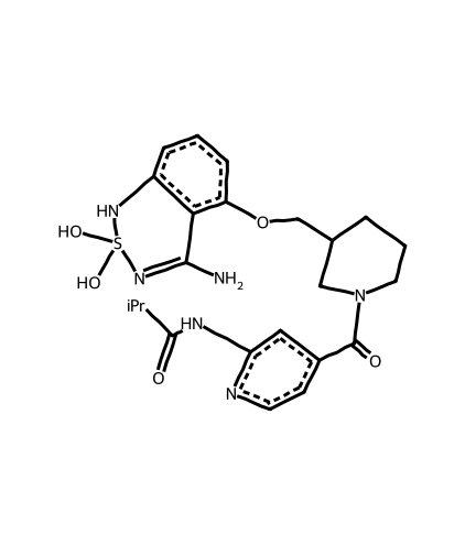 CC(C)C(=O)Nc1cc(C(=O)N2CCCC(COc3cccc4c3C(N)=NS(O)(O)N4)C2)ccn1